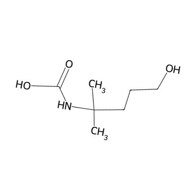 CC(C)(CCCO)NC(=O)O